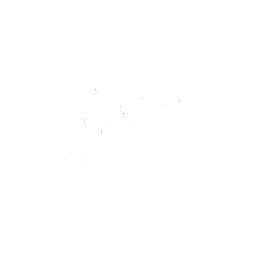 N#Cc1c(Nc2cccc(Cl)c2)n[nH]c1NCc1ccc(-c2ccccn2)s1